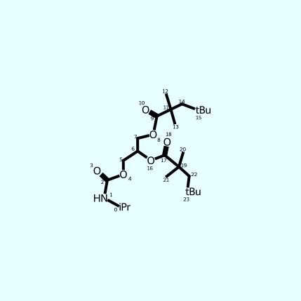 CC(C)NC(=O)OCC(COC(=O)C(C)(C)CC(C)(C)C)OC(=O)C(C)(C)CC(C)(C)C